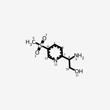 CS(=O)(=O)c1ccc(C(N)CO)nc1